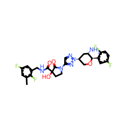 Cc1cc(F)cc(CNC(=O)C2(O)CCN(c3cnn([C@H]4CO[C@H](c5cc(F)ccc5F)[C@@H](N)C4)n3)C2=O)c1F